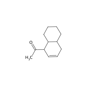 CC(=O)C1C=CCC2CCCCC21